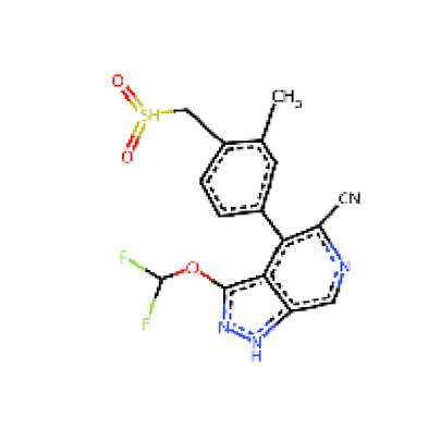 Cc1cc(-c2c(C#N)ncc3[nH]nc(OC(F)F)c23)ccc1C[SH](=O)=O